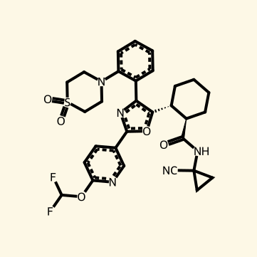 N#CC1(NC(=O)[C@@H]2CCCC[C@H]2c2oc(-c3ccc(OC(F)F)nc3)nc2-c2ccccc2N2CCS(=O)(=O)CC2)CC1